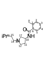 Cc1ccccc1C(=O)NC1CCN(CCC(C)C)C1